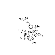 COC(=O)[C@H]1O[C@@H](Oc2ccc(COC(C)=O)cc2C(=O)O)[C@H](OC(C)=O)[C@@H](OC(C)=O)[C@@H]1OC(C)=O